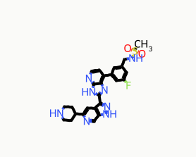 CS(=O)(=O)NCc1cc(F)cc(-c2ccnc3[nH]c(-c4n[nH]c5cnc(C6CCNCC6)cc45)nc23)c1